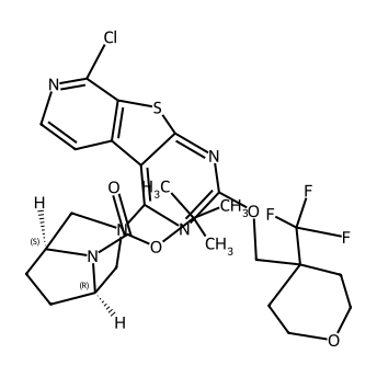 CC(C)(C)OC(=O)N1[C@@H]2CC[C@H]1CN(c1nc(OCC3(C(F)(F)F)CCOCC3)nc3sc4c(Cl)nccc4c13)C2